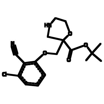 CC(C)(C)OC(=O)C1(COc2cccc(Cl)c2C#N)CNCCO1